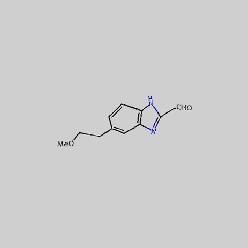 COCCc1ccc2[nH]c(C=O)nc2c1